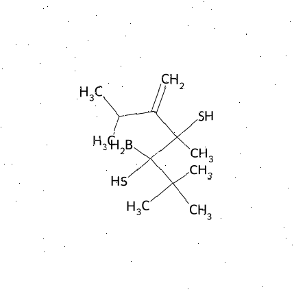 BC(S)(C(C)(C)C)C(C)(S)C(=C)C(C)C